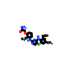 CNc1cc(C)ccc1Nc1nc(Nc2cccc(OCC(N)=O)c2C)ncc1Cl